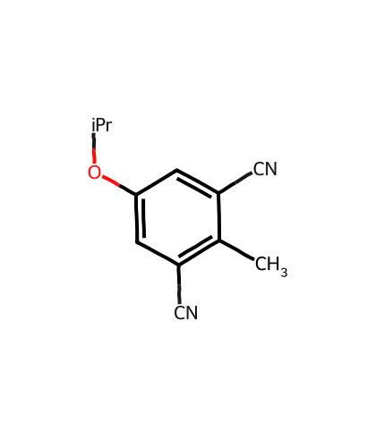 Cc1c(C#N)cc(OC(C)C)cc1C#N